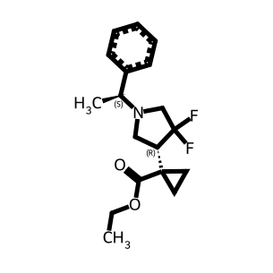 CCOC(=O)C1([C@@H]2CN([C@@H](C)c3ccccc3)CC2(F)F)CC1